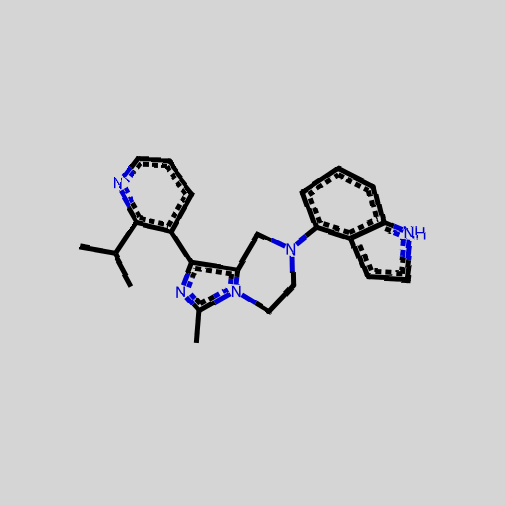 Cc1nc(-c2cccnc2C(C)C)c2n1CCN(c1cccc3[nH]ccc13)C2